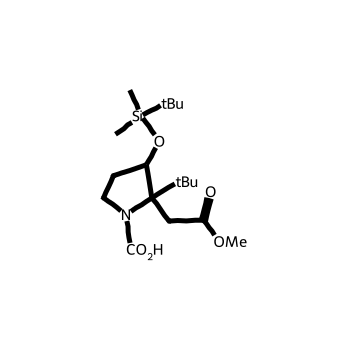 COC(=O)CC1(C(C)(C)C)C(O[Si](C)(C)C(C)(C)C)CCN1C(=O)O